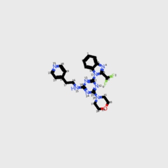 FC(F)c1nc2ccccc2n1-c1nc(NCCc2ccncc2)nc(N2CCOCC2)n1